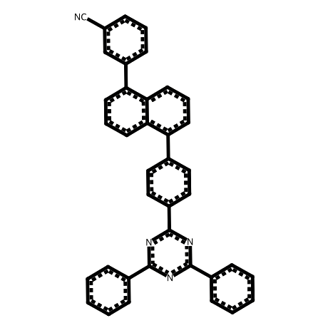 N#Cc1cccc(-c2cccc3c(-c4ccc(-c5nc(-c6ccccc6)nc(-c6ccccc6)n5)cc4)cccc23)c1